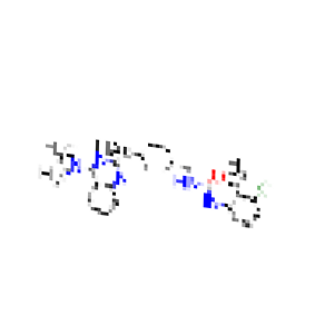 Cc1c(Cl)cccc1NC(=O)NCC1CCC([AsH]c2nc(N(C)C)c3ccccc3n2)CC1